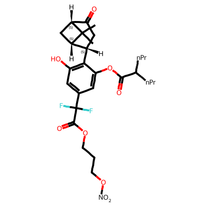 CCCC(CCC)C(=O)Oc1cc(C(F)(F)C(=O)OCCCO[N+](=O)[O-])cc(O)c1[C@H]1CC(=O)[C@H]2C[C@@H]1C2(C)C